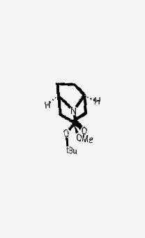 CO[C@H]1C[C@H]2CC[C@@H](C1)N2C(=O)OC(C)(C)C